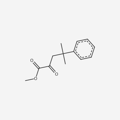 COC(=O)C(=O)CC(C)(C)c1ccccc1